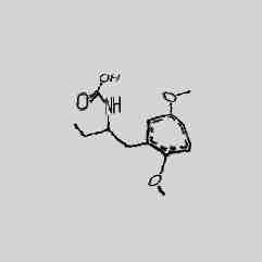 CCC(Cc1cc(OC)ccc1OC)NC(=O)O